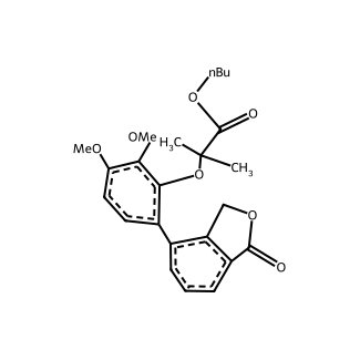 CCCCOC(=O)C(C)(C)Oc1c(-c2cccc3c2COC3=O)ccc(OC)c1OC